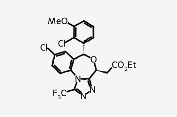 CCOC(=O)C[C@@H]1O[C@@H](c2cccc(OC)c2Cl)c2cc(Cl)ccc2-n2c1nnc2C(F)(F)F